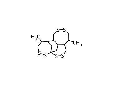 CC1CSSC23CC1C1CSSCC(C)C(CSS2)C1C3